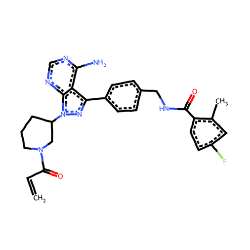 C=CC(=O)N1CCCC(n2nc(-c3ccc(CNC(=O)c4ccc(F)cc4C)cc3)c3c(N)ncnc32)C1